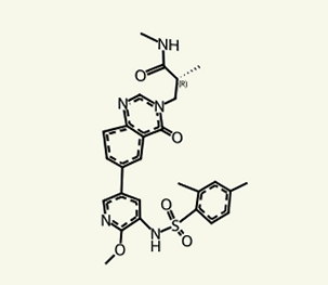 CNC(=O)[C@H](C)Cn1cnc2ccc(-c3cnc(OC)c(NS(=O)(=O)c4ccc(C)cc4C)c3)cc2c1=O